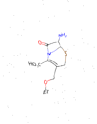 CCOCC1=C(C(=O)O)N2C(=O)C(N)C2SC1